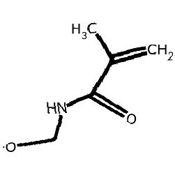 C=C(C)C(=O)NC[O]